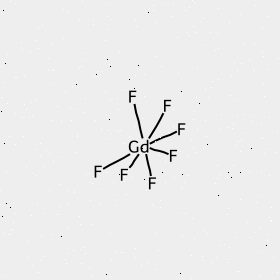 [F][Gd]([F])([F])([F])([F])([F])[F]